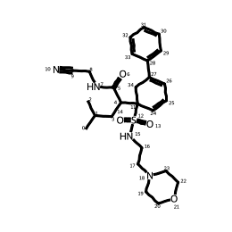 CC(C)CC(C(=O)NCC#N)C1(S(=O)(=O)NCCN2CCOCC2)C=CC=C(c2ccccc2)C1